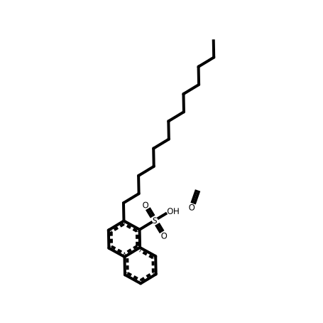 C=O.CCCCCCCCCCCCCc1ccc2ccccc2c1S(=O)(=O)O